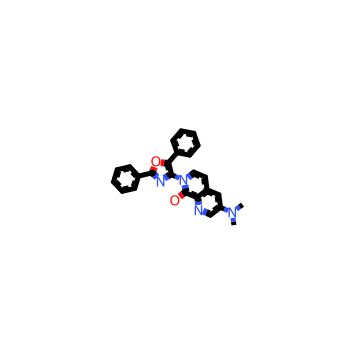 CN(C)c1cnc2c(=O)n(-c3nc(-c4ccccc4)oc3-c3ccccc3)ccc2c1